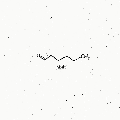 CCCCCC=O.[NaH]